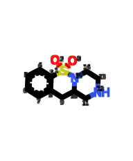 O=S1(=O)c2ccccc2CC2CNCCN21